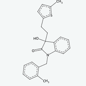 Cc1ccc(CCC2(O)C(=O)N(Cc3ccccc3C)c3ccccc32)s1